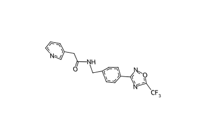 O=C(Cc1cccnc1)NCc1ccc(-c2noc(C(F)(F)F)n2)cc1